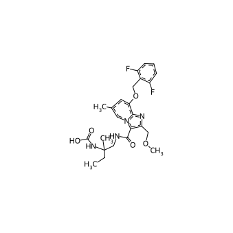 CCC(C)(CNC(=O)c1c(COC)nc2c(OCc3c(F)cccc3F)cc(C)cn12)NC(=O)O